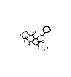 CCOC(=O)c1cn2c(c(OCc3ccccc3)c1=O)C(=O)N1CCOC[C@H]1N2